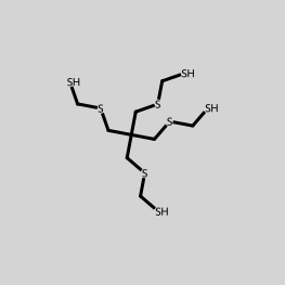 SCSCC(CSCS)(CSCS)CSCS